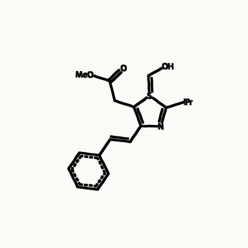 COC(=O)CC1=C(C=Cc2ccccc2)N=C(C(C)C)S1=CO